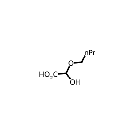 CCCCOC(O)C(=O)O